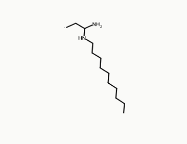 [CH2]CC(N)NCCCCCCCCCC